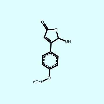 CCCCCCCCOc1ccc(C2=CC(=O)OC2O)cc1